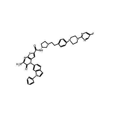 Nc1nc2sc(C(=O)N[C@@H]3CCN(CCc4ccc(N5CCN(c6ncc(F)cn6)CC5)cc4)C3)cc2n(-c2ccc3ccn(-c4ccccc4)c3c2)c1=O